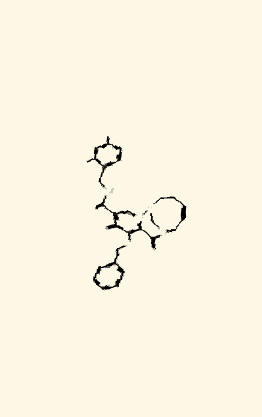 C[C@@H]1C/C=C\CN2CN1n1cc(C(=O)NCc3ccc(F)cc3F)c(=O)c(OCc3ccccc3)c1C2=O